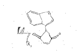 C=COC(C)=O.O=C1C=CC(=O)N1c1cccc2ccccc12